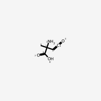 CC(N)(C=C=O)C(=O)O